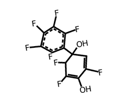 OC1=C(F)C(F)C(O)(c2c(F)c(F)c(F)c(F)c2F)C=C1F